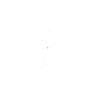 C=C[SiH2]OC(OCCCC)(OCCCC)C(CC)OCCCC